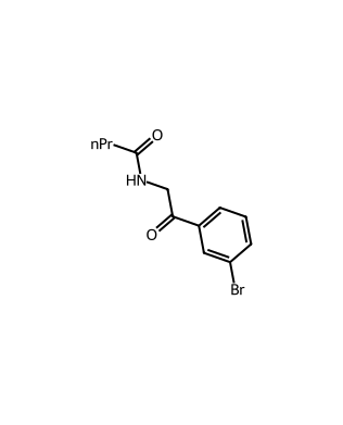 CCCC(=O)NCC(=O)c1cccc(Br)c1